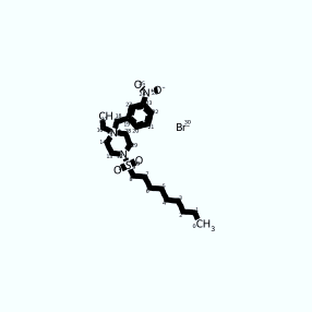 CCCCCCCCCS(=O)(=O)N1CC[N+](CC)(Cc2cccc([N+](=O)[O-])c2)CC1.[Br-]